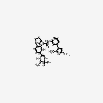 Cc1nn(C)cc1-c1ccnc(NC(=O)N2C3=C(C=CC(C(=O)N[C@H](C)C(F)(F)F)N3)N3CCC2C3)c1